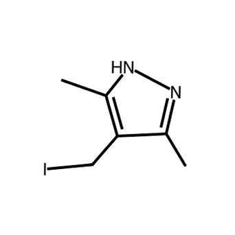 Cc1n[nH]c(C)c1CI